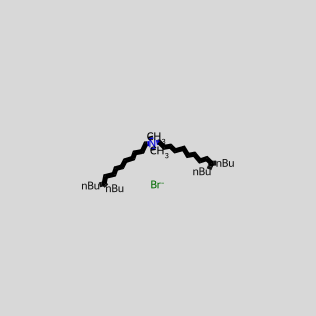 CCCCC(CCCC)CCCCCCCCC[N+](C)(C)CCCCCCCCCC(CCCC)CCCC.[Br-]